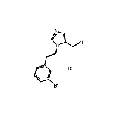 Cl.ClCc1cncn1CCc1cccc(Br)c1